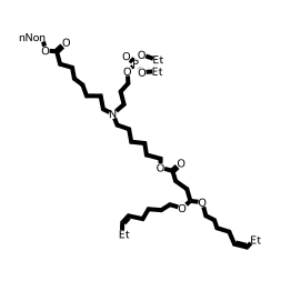 CC/C=C\CCCCOC(CCC(=O)OCCCCCCN(CCCCCCCC(=O)OCCCCCCCCC)CCCOP(=O)(OCC)OCC)OCCCC/C=C\CC